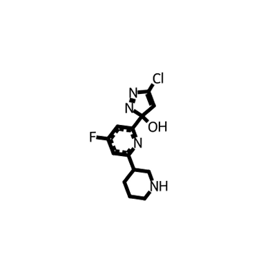 OC1(c2cc(F)cc(C3CCCNC3)n2)C=C(Cl)N=N1